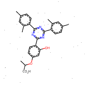 Cc1ccc(-c2nc(-c3ccc(C)cc3C)nc(-c3ccc(OC(C)C(=O)O)cc3O)n2)c(C)c1